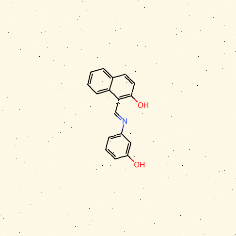 Oc1cccc(/N=C/c2c(O)ccc3ccccc23)c1